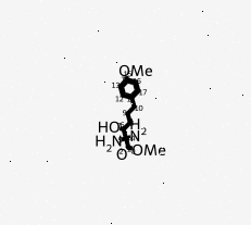 COC(=O)C(N)(N)C(O)CCCc1ccc(OC)cc1